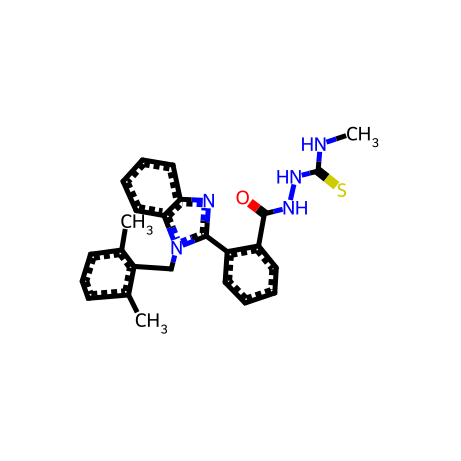 CNC(=S)NNC(=O)c1ccccc1-c1nc2ccccc2n1Cc1c(C)cccc1C